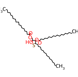 CCCCCCCCCCCCCCCCCC(=O)OCC(O)C(OC(=O)CCCCCCCCCCCCCCCCC)C(=S)CCCCCCCCCCCCCCC